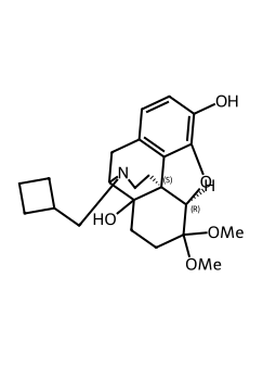 COC1(OC)CCC2(O)C3Cc4ccc(O)c5c4[C@@]2(CCN3CC2CCC2)[C@H]1O5